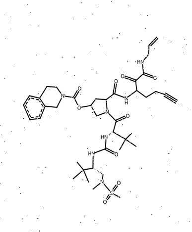 C#CCCC(NC(=O)C1CC(OC(=O)N2CCc3ccccc3C2)CN1C(=O)[C@@H](NC(=O)N[C@H](CN(C)S(C)(=O)=O)C(C)(C)C)C(C)(C)C)C(=O)C(=O)NCC=C